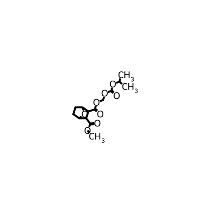 COC(=O)C1C2CCC(O2)C1C(=O)OCOC(=O)OC(C)C